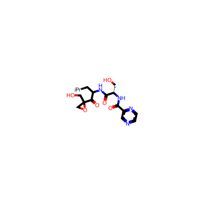 CC(C)CC(NC(=O)[C@H](CO)NC(=O)c1cnccn1)C(=O)C1(CO)CO1